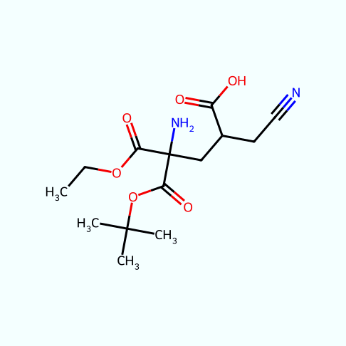 CCOC(=O)C(N)(CC(CC#N)C(=O)O)C(=O)OC(C)(C)C